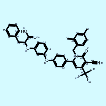 Cc1ccc(Cn2c(-c3ccc(Oc4cccc(OC(Cc5ccccc5)C(=O)O)c4)cc3)cc(C(F)(F)F)c(C#N)c2=O)c(C)c1